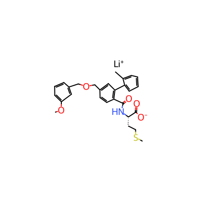 COc1cccc(COCc2ccc(C(=O)N[C@@H](CCSC)C(=O)[O-])c(-c3ccccc3C)c2)c1.[Li+]